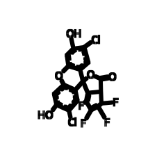 O=C1OC2(C3=C(F)C(F)=C(F)C(F)C13)c1cc(Cl)c(O)cc1Oc1cc(O)c(Cl)cc12